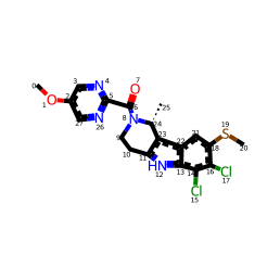 COc1cnc(C(=O)N2CCc3[nH]c4c(Cl)c(Cl)c(SC)cc4c3[C@H]2C)nc1